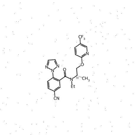 CCN(C(=O)c1cc(C#N)ccc1-n1nccn1)[C@@H](C)COc1ccc(C(F)(F)F)cn1